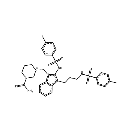 Cc1ccc(S(=O)(=O)NCCCc2c(NS(=O)(=O)c3ccc(I)cc3)n(C[C@H]3CCCN(C(=N)N)C3)c3ccccc23)cc1